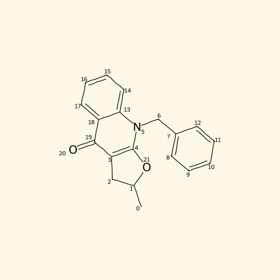 CC1Cc2c(n(Cc3ccccc3)c3ccccc3c2=O)O1